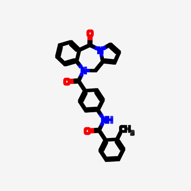 Cc1ccccc1C(=O)Nc1ccc(C(=O)N2Cc3cccn3C(=O)c3ccccc32)cc1